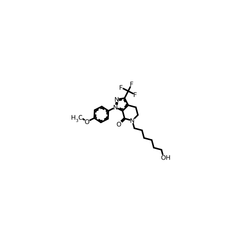 COc1ccc(-n2nc(C(F)(F)F)c3c2C(=O)N(CCCCCCO)CC3)cc1